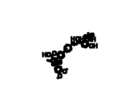 CCC(C(=O)O)N(c1ccc(N2CCC(NC[C@@H](O)c3ccc(O)c(NS(C)(=O)=O)c3)CC2)cc1)S(=O)(=O)c1ccc(OC)c(OC)c1